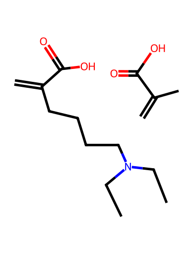 C=C(C)C(=O)O.C=C(CCCCN(CC)CC)C(=O)O